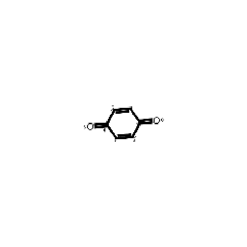 O=C1[C]=CC(=O)[C]=C1